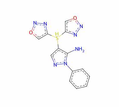 Nc1c([SH](c2conn2)c2conn2)cnn1-c1ccccc1